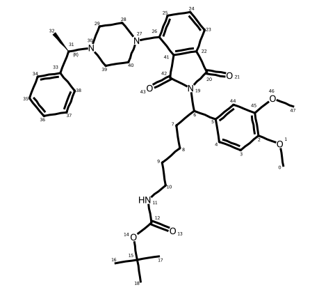 COc1ccc(C(CCCCNC(=O)OC(C)(C)C)N2C(=O)c3cccc(N4CCN([C@H](C)c5ccccc5)CC4)c3C2=O)cc1OC